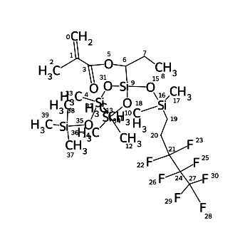 C=C(C)C(=O)OC(CC)[Si](O[Si](C)(C)C)(O[Si](C)(C)CCC(F)(F)C(F)(F)C(F)(F)F)O[Si](C)(C)O[Si](C)(C)C